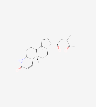 CC(CC(=O)[C@H]1CC[C@H]2[C@@H]3CCC4NC(=O)C=C[C@]4(C)[C@H]3CC[C@]12C)C(=O)C(F)(F)F